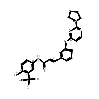 O=C(/C=C/c1cccc(Oc2ccnc(N3CCCC3)n2)c1)Nc1ccc(Cl)c(C(F)(F)F)c1